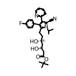 CC(C)n1c(C#N)c(-c2ccccn2)c(-c2ccc(F)cc2)c1CC[C@@H](O)C[C@@H](O)CC(=O)OC(C)(C)C